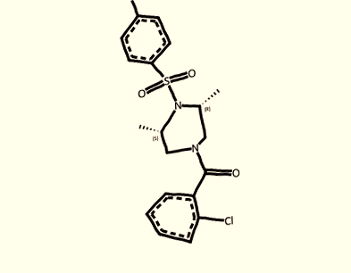 C[C@@H]1CN(C(=O)c2ccccc2Cl)C[C@H](C)N1S(=O)(=O)c1ccc(C(C)(C)C)cc1